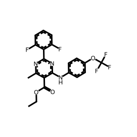 CCOC(=O)c1c(C)nc(-c2c(F)cccc2F)nc1Nc1ccc(OC(F)(F)F)cc1